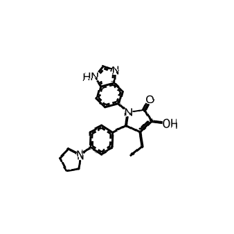 CCC1=C(O)C(=O)N(c2ccc3[nH]cnc3c2)C1c1ccc(N2CCCC2)cc1